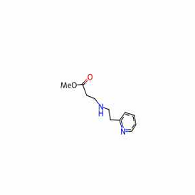 COC(=O)CCNCCc1ccccn1